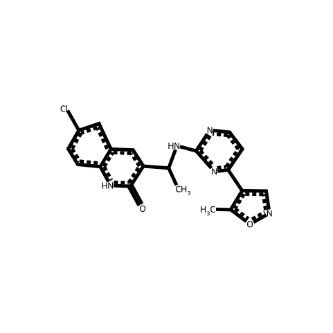 Cc1oncc1-c1ccnc(NC(C)c2cc3cc(Cl)ccc3[nH]c2=O)n1